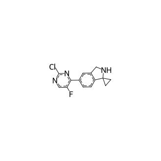 Fc1cnc(Cl)nc1-c1ccc2c(c1)CNC21CC1